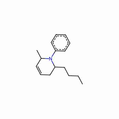 CCCCC1CC=CC(C)N1c1ccccc1